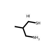 CC(CN)CS.I